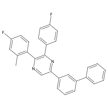 Cc1cc(F)ccc1-c1ncc(-c2cccc(-c3ccccc3)c2)nc1-c1ccc(F)cc1